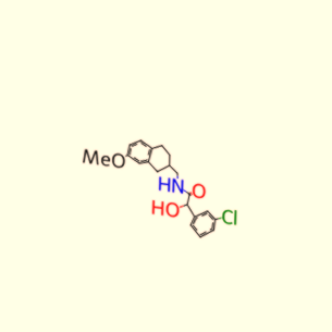 COc1ccc2c(c1)CC(CNC(=O)C(O)c1cccc(Cl)c1)CC2